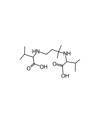 CC(C)C(NCCC(C)(C)NC(C(=O)O)C(C)C)C(=O)O